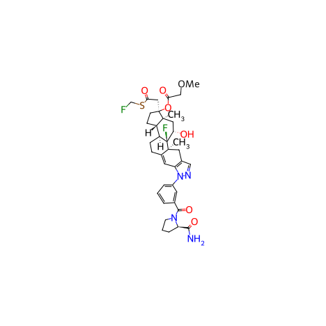 COCC(=O)O[C@]1(CC(=O)SCF)CC[C@H]2[C@@H]3CCC4=Cc5c(cnn5-c5cccc(C(=O)N6CCC[C@@H]6C(N)=O)c5)C[C@]4(C)[C@@]3(F)[C@@H](O)C[C@@]21C